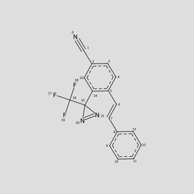 N#Cc1ccc(/C=C/c2ccccc2)c(C2(C(F)(F)F)N=N2)c1